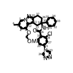 COCOc1cc(C)cn2nc3c(c12)CC(NC(=O)c1ccc(-n2cnnc2)cc1Cl)(c1ccccc1)CC3